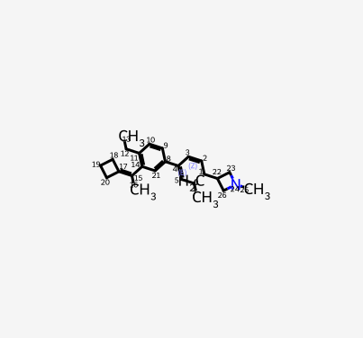 C=C(/C=C\C(=C/CC)c1ccc(CC)c(C(C)=C2CCC2)c1)C1CN(C)C1